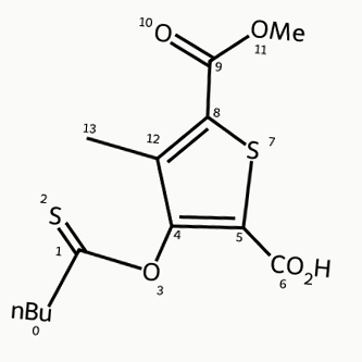 CCCCC(=S)Oc1c(C(=O)O)sc(C(=O)OC)c1C